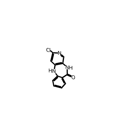 O=C1Nc2cnc(Cl)cc2Nc2ccccc21